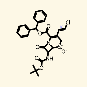 CC(C)(C)OC(=O)NC1C(=O)N2C(C(=O)OC(c3ccccc3)c3ccccc3)=C(/C=C/Cl)C[S+]([O-])C12